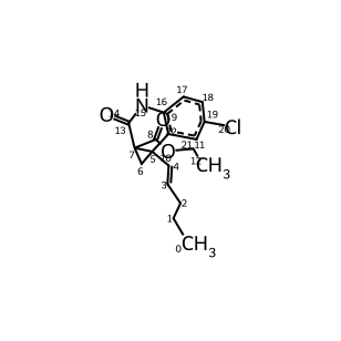 CCC/C=C/C12CC1(C(=O)OCC)C(=O)Nc1ccc(Cl)cc12